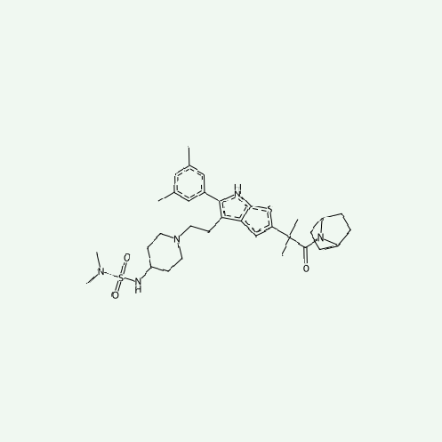 Cc1cc(C)cc(-c2[nH]c3sc(C(C)(C)C(=O)N4C5CCC4CC5)cc3c2CCN2CCC(NS(=O)(=O)N(C)C)CC2)c1